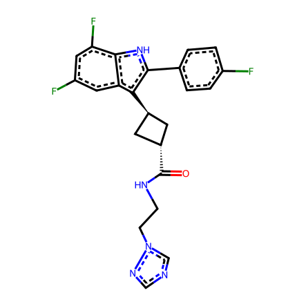 O=C(NCCn1cncn1)[C@H]1C[C@H](c2c(-c3ccc(F)cc3)[nH]c3c(F)cc(F)cc32)C1